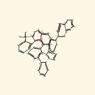 CC1(C)c2ccccc2-c2c(N(c3cccc(-c4ccc5ccccc5c4)c3)c3cccc(-c4ccccc4)c3-c3ccccc3-c3ccccc3)cccc21